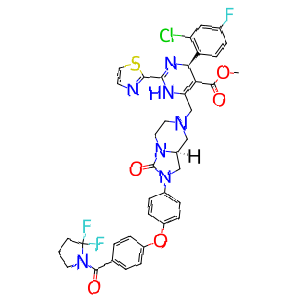 COC(=O)C1=C(CN2CCN3C(=O)N(c4ccc(Oc5ccc(C(=O)N6CCCC6(F)F)cc5)cc4)C[C@@H]3C2)NC(c2nccs2)=N[C@H]1c1ccc(F)cc1Cl